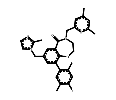 Cc1cc(C)nc(CN2CCOc3c(cc(Cn4ccnc4C)cc3-c3cc(C)c(F)cc3C)C2=O)c1